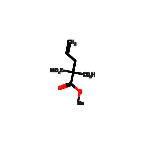 C=CCC(C(=O)O)(C(=O)OCC)C(=O)OC(C)CC